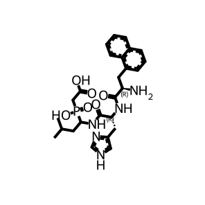 CC(C)CC(NC(=O)[C@@H](Cc1c[nH]cn1)NC(=O)[C@H](N)Cc1cccc2ccccc12)P(=O)(O)CC(=O)O